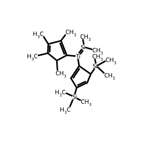 CC1=C(C)C(C)[C]([Ti]([C]2=CC([Si](C)(C)C)=CC2[Si](C)(C)C)=[Si](C)C)=C1C